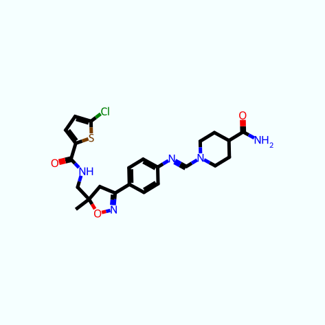 CC1(CNC(=O)c2ccc(Cl)s2)CC(c2ccc(N=CN3CCC(C(N)=O)CC3)cc2)=NO1